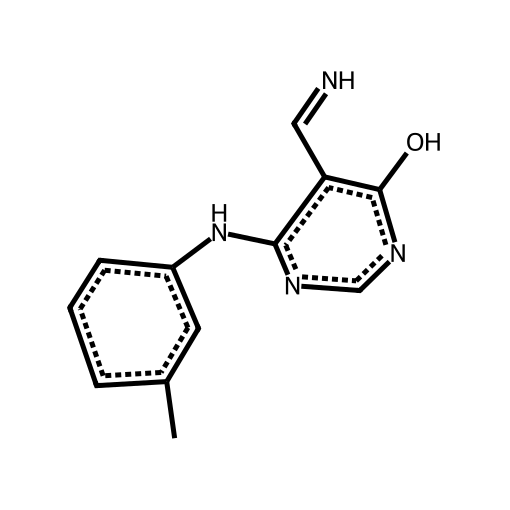 Cc1cccc(Nc2ncnc(O)c2C=N)c1